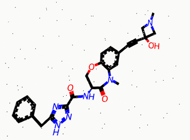 CN1CC(O)(C#Cc2ccc3c(c2)N(C)C(=O)[C@@H](NC(=O)c2n[nH]c(Cc4ccccc4)n2)CO3)C1